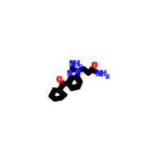 NC(=O)CCn1c(N)nc2c(C(=O)C3CCCCC3)cccc21